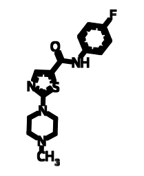 CN1CCN(c2ncc(C(=O)Nc3ccc(F)cc3)s2)CC1